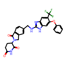 O=C1CCC(N2Cc3cc(CNc4nc5cc(C(F)(F)F)c(Oc6ccccc6)cc5[nH]4)ccc3C2=O)C(=O)N1